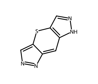 c1nnc2cc3[nH]ncc3sc1-2